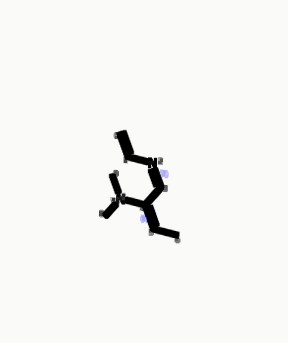 C=C/N=C\C(=C/C)N(C)C